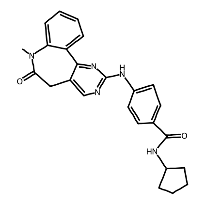 CN1C(=O)Cc2cnc(Nc3ccc(C(=O)NC4CCCC4)cc3)nc2-c2ccccc21